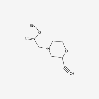 C#CC1CN(CC(=O)OC(C)(C)C)CCO1